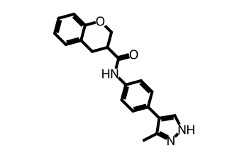 Cc1n[nH]cc1-c1ccc(NC(=O)C2COc3ccccc3C2)cc1